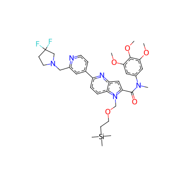 COc1cc(N(C)C(=O)c2cc3nc(-c4ccnc(CN5CCC(F)(F)C5)c4)ccc3n2COCC[Si](C)(C)C)cc(OC)c1OC